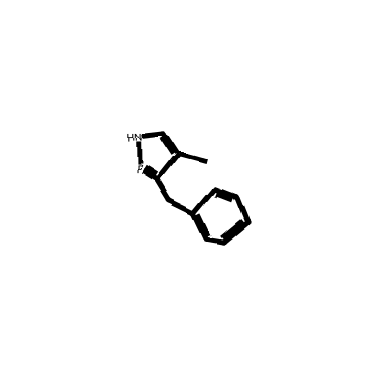 Cc1c[nH]pc1Cc1ccccc1